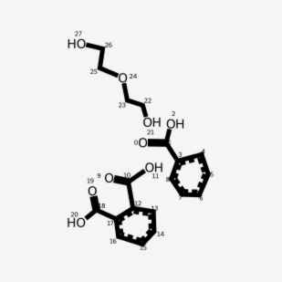 O=C(O)c1ccccc1.O=C(O)c1ccccc1C(=O)O.OCCOCCO